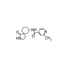 Cc1cc(C(=O)NC2CCCC3(CCNC3=O)C2)ccn1